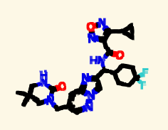 CC1(C)CNC(=O)N(Cc2cnn3cc([C@@H](NC(=O)c4nonc4C4CC4)C4CCC(F)(F)CC4)nc3c2)C1